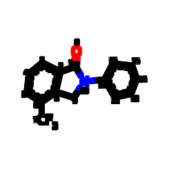 O=C1c2cccc(C(F)(F)F)c2CN1c1[c]cccc1